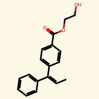 CC=C(c1ccccc1)c1ccc(C(=O)OCCO)cc1